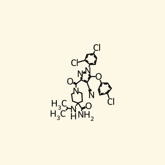 CC(C)NC1(C(N)=O)CCN(C(=O)c2nn(-c3ccc(Cl)cc3Cl)c(Oc3ccc(Cl)cc3)c2C#N)CC1